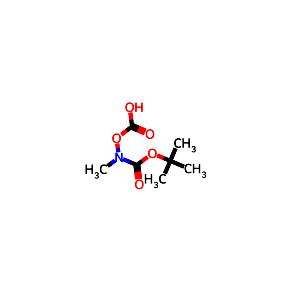 CN(OC(=O)O)C(=O)OC(C)(C)C